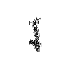 CCC(C)CC(=O)Nc1ccc(N2CCN(c3ccc(OC[C@@H]4CO[C@@](Cn5cnnn5)(c5ccc(Cl)cc5Cl)O4)cc3)CC2)cc1